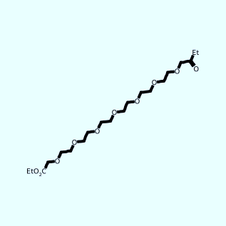 CCOC(=O)COCCOCCOCCOCCOCCOCCOCC(=O)CC